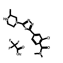 CC1CN(c2nnc(-c3ccc(C(=O)N(C)C)c(Cl)c3)s2)CCN1.O=C(O)C(F)(F)F